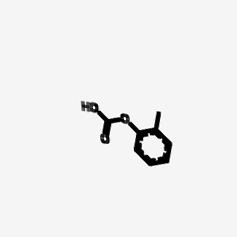 Cc1ccccc1OC(=O)O